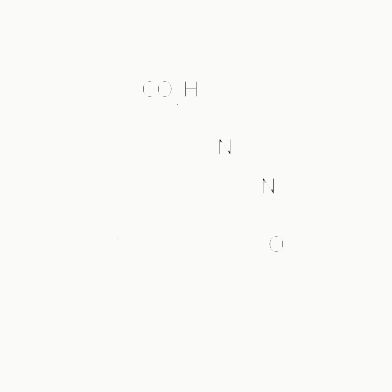 O=C(O)c1ccccconn1